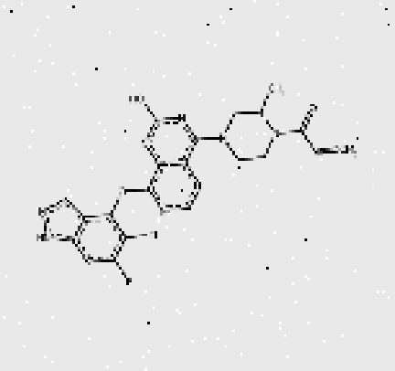 C=CC(=O)N1CCN(c2nc(O)nc3c(Oc4c(Cl)c(F)cc5[nH]ncc45)nccc23)CC1C